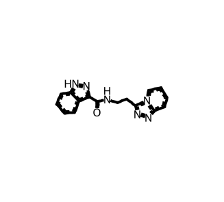 O=C(NCCc1nnc2ccccn12)c1n[nH]c2ccccc12